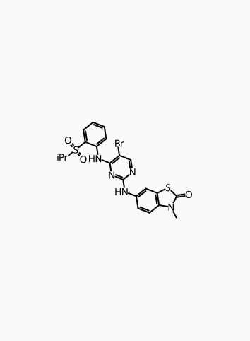 CC(C)S(=O)(=O)c1ccccc1Nc1nc(Nc2ccc3c(c2)sc(=O)n3C)ncc1Br